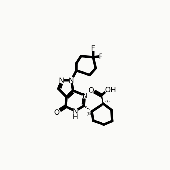 O=C(O)[C@H]1CCCC[C@@H]1c1nc2c(cnn2C2CCC(F)(F)CC2)c(=O)[nH]1